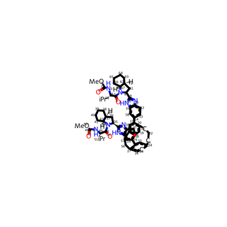 COC(=O)N[C@H](C(=O)N1C(c2nc3ccc(-c4cc5ccc4CCCc4ccc(c(-c6ccc7nc([C@@H]8C[C@@H]9CCCC[C@@H]9N8C(=O)[C@@H](NC(=O)OC)C(C)C)[nH]c7c6)c4)CC5)cc3[nH]2)C[C@@H]2CCCC[C@@H]21)C(C)C